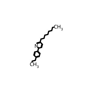 CCCCCCCCc1ccc(-c2ccc(CCC)cc2)nc1